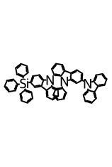 c1ccc(-n2c3cc(-n4c5ccccc5c5ccccc54)ccc3c3cccc(-n4c5ccccc5c5cc([Si](c6ccccc6)(c6ccccc6)c6ccccc6)ccc54)c32)cc1